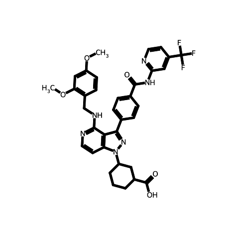 COc1ccc(CNc2nccc3c2c(-c2ccc(C(=O)Nc4cc(C(F)(F)F)ccn4)cc2)nn3C2CCCC(C(=O)O)C2)c(OC)c1